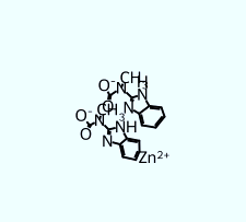 CN(C(=O)[O-])c1nc2ccccc2[nH]1.CN(C(=O)[O-])c1nc2ccccc2[nH]1.[Zn+2]